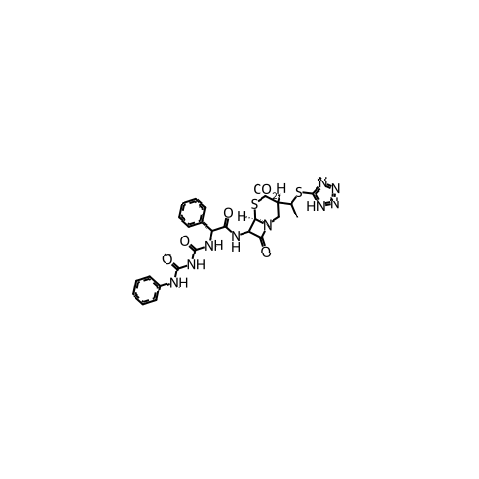 CC(Sc1nnn[nH]1)C1(C(=O)O)CS[C@@H]2C(NC(=O)C(NC(=O)NC(=O)Nc3ccccc3)c3ccccc3)C(=O)N2C1